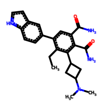 CCc1c(-c2ccc3[nH]ccc3c2)cc(C(N)=O)c(C(N)=O)c1C1CC(N(C)C)C1